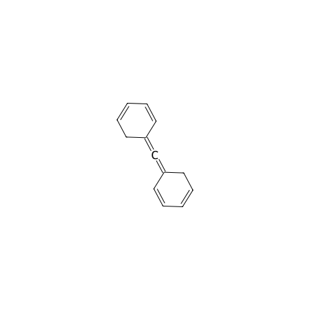 C(=C1C=CC=CC1)=C1C=CC=CC1